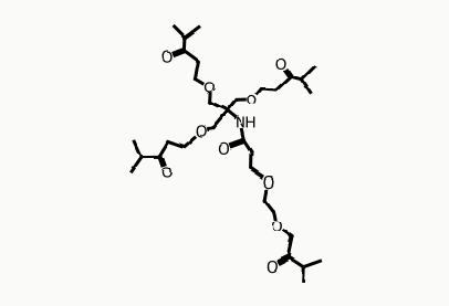 CC(C)C(=O)CCOCC(COCCC(=O)C(C)C)(COCCC(=O)C(C)C)NC(=O)CCOCCOCC(=O)C(C)C